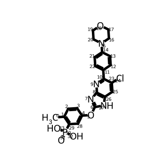 Cc1ccc(Oc2nc3nc(-c4ccc(N5CCOCC5)cc4)c(Cl)cc3[nH]2)cc1P(=O)(O)O